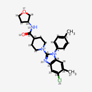 Cc1ccc(-n2c(N3CCC(C(=O)N[C@H]4CCOC4)CC3)nc3cc(Cl)c(C)cc32)cc1